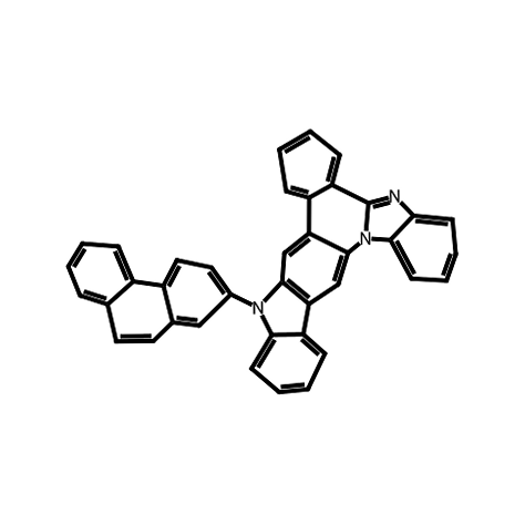 c1ccc2c(c1)ccc1cc(-n3c4ccccc4c4cc5c(cc43)c3ccccc3c3nc4ccccc4n53)ccc12